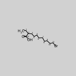 CCC(CCCCCCCCCBr)C(=O)O